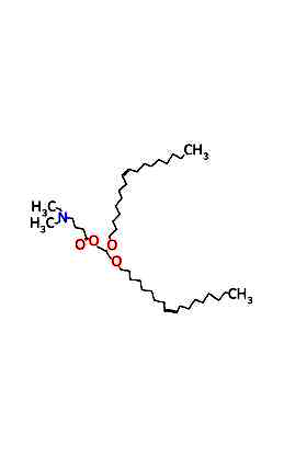 CCCCCCCC/C=C\CCCCCCCCOCC(COC(=O)CCCN(CC)CC)OCCCCCCCC/C=C\CCCCCCCC